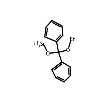 CCOC(O[SiH3])(c1ccccc1)c1ccccc1